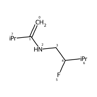 C=C(NCC(F)C(C)C)C(C)C